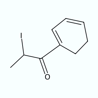 CC(I)C(=O)C1=CC=CCC1